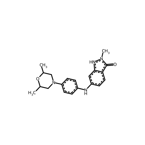 CC1CN(c2ccc(Nc3ccc4c(=O)n(C)[nH]c4c3)cc2)CC(C)O1